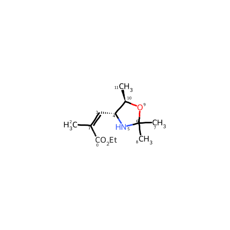 CCOC(=O)/C(C)=C\[C@H]1NC(C)(C)O[C@@H]1C